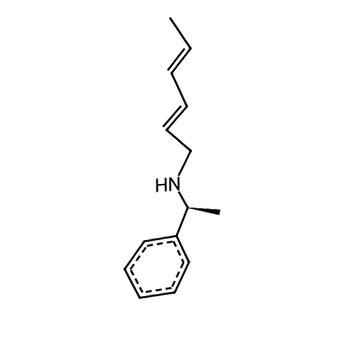 CC=CC=CCN[C@@H](C)c1ccccc1